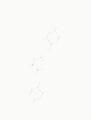 C=C(CC(=O)OCc1ccc(Cl)cc1Cl)C(=O)OCc1ccc(Cl)cc1Cl